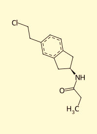 CCC(=O)N[C@@H]1Cc2ccc(CCCl)cc2C1